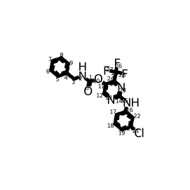 O=C(NCc1ccccc1)Oc1cnc(Nc2cccc(Cl)c2)nc1C(F)(F)F